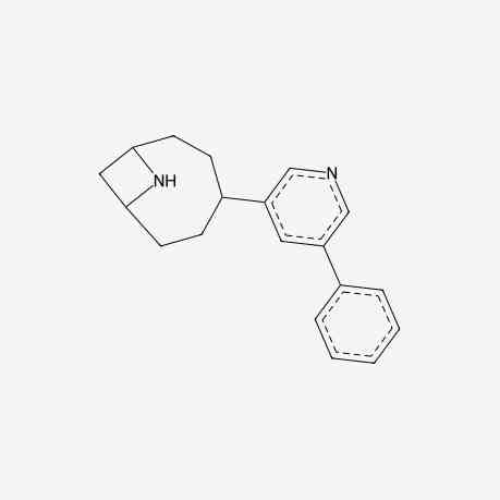 c1ccc(-c2cncc(C3CCC4CC(CC3)N4)c2)cc1